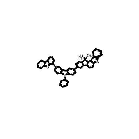 CC1(C)c2ccc(-c3ccc4c(c3)c3cc(-c5cccc6c5oc5ccccc56)ccc3n4-c3ccccc3)cc2-c2ccc3sc4ccccc4c3c21